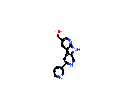 OCc1cnc2[nH]c3cnc(-c4cccnc4)cc3c2c1